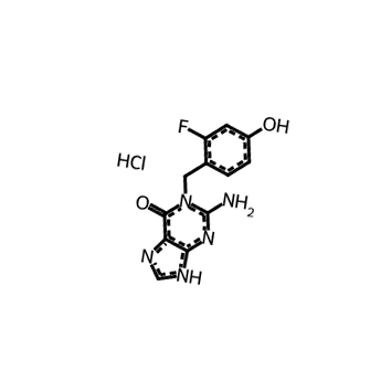 Cl.Nc1nc2[nH]cnc2c(=O)n1Cc1ccc(O)cc1F